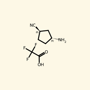 N#C[C@@H]1CC[C@@H](N)C1.O=C(O)C(F)(F)F